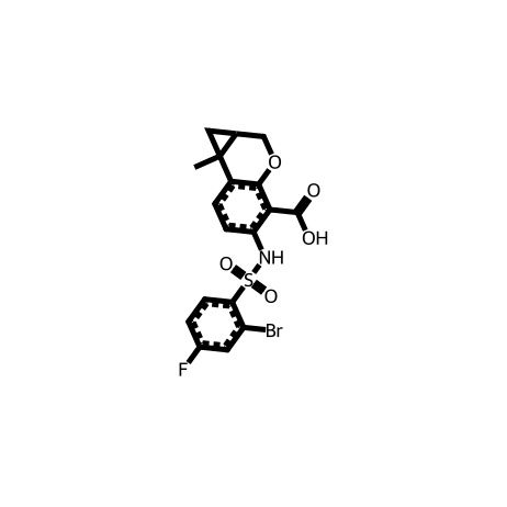 CC12CC1COc1c2ccc(NS(=O)(=O)c2ccc(F)cc2Br)c1C(=O)O